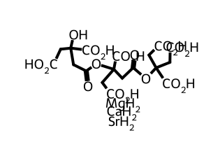 O=C(O)CC(O)(CC(=O)OC(CC(=O)O)(CC(=O)OC(CC(=O)O)(CC(=O)O)C(=O)O)C(=O)O)C(=O)O.[CaH2].[MgH2].[SrH2]